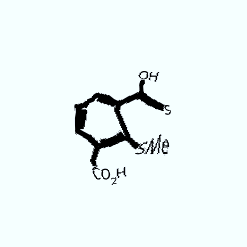 CSc1c(C(=O)O)cccc1C(O)=S